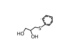 OCC(O)CSc1[c]cccc1